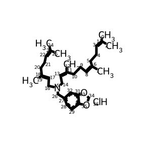 CC(C)=CCCC(C)=CCCC(C)=CCN(C/C=C(\C)CCC=C(C)C)Cc1ccc2c(c1)OCO2.Cl